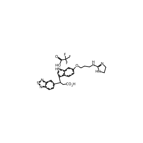 O=C(O)C(F)(F)F.O=C(O)CC(c1ccc2nsnc2c1)c1c[nH]c2cc(OCCCNC3=NCCN3)ccc12